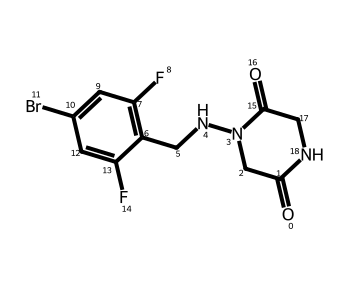 O=C1CN(NCc2c(F)cc(Br)cc2F)C(=O)CN1